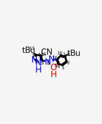 CC(C)(C)c1ccc(O)c(/N=N/c2[nH]nc(C(C)(C)C)c2C#N)c1